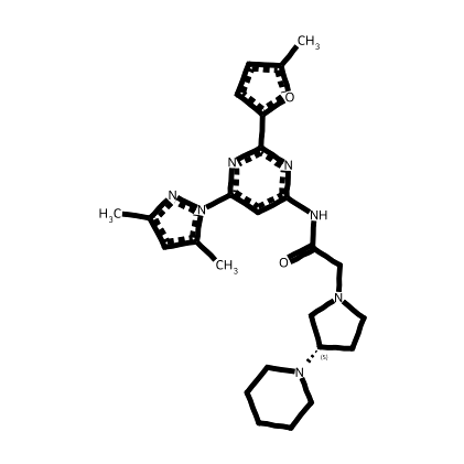 Cc1cc(C)n(-c2cc(NC(=O)CN3CC[C@H](N4CCCCC4)C3)nc(-c3ccc(C)o3)n2)n1